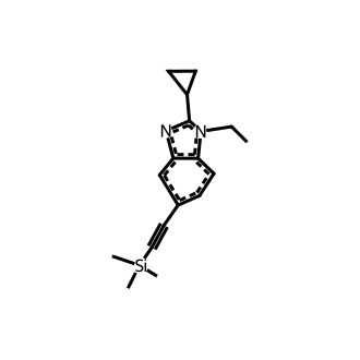 CCn1c(C2CC2)nc2cc(C#C[Si](C)(C)C)ccc21